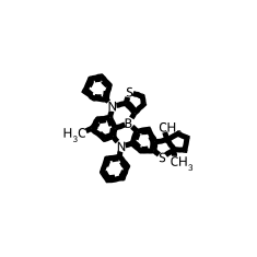 Cc1cc2c3c(c1)N(c1ccccc1)c1cc4c(cc1B3C1=C(SCC1)N2c1ccccc1)C1(C)CCCC1(C)S4